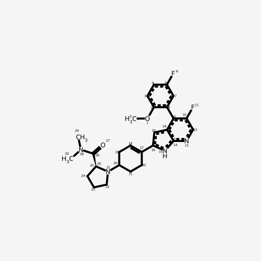 COc1ccc(F)cc1-c1c(F)cnc2[nH]c(C3=CCC(N4CCC[C@H]4C(=O)N(C)C)CC3)cc12